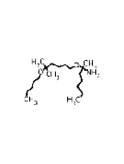 CCCCCOC(C)(C)CCCCOC(C)(N)CCCCC